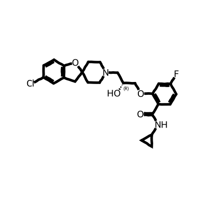 O=C(NC1CC1)c1ccc(F)cc1OC[C@H](O)CN1CCC2(CC1)Cc1cc(Cl)ccc1O2